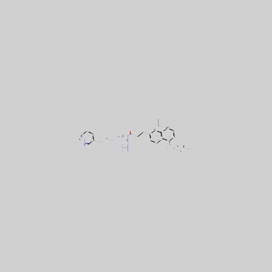 CCCCc1c(/C=C/C(=O)NCCCCc2cccnc2)ccc2c(OC)cccc12